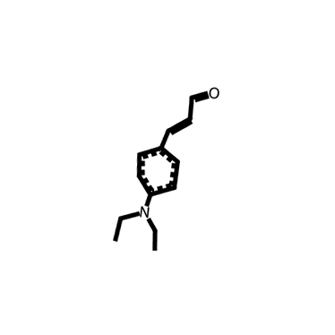 CCN(CC)c1ccc(/C=C/C=O)cc1